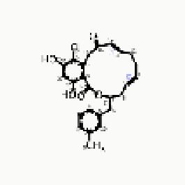 Cc1cccc(C[C@@H]2C/C=C/CC/C=C/C(=O)Cc3c(Cl)c(O)cc(O)c3C(=O)O2)c1